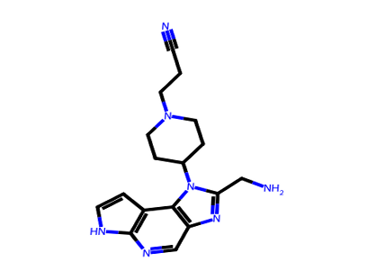 N#CCCN1CCC(n2c(CN)nc3cnc4[nH]ccc4c32)CC1